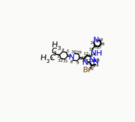 CC(C)C1CCC(N2CCC(c3cc(NCc4cccnc4)n4ncc(Br)c4n3)CC2)CC1